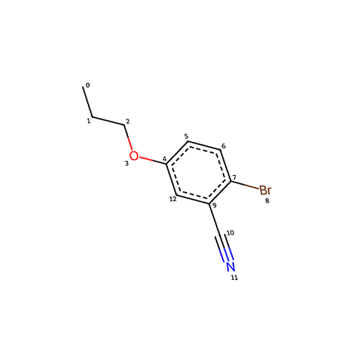 CCCOc1ccc(Br)c(C#N)c1